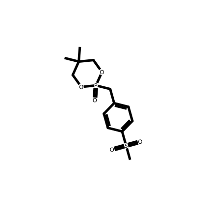 CC1(C)COP(=O)(Cc2ccc(S(C)(=O)=O)cc2)OC1